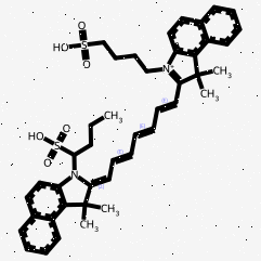 CCCC(N1\C(=C/C=C/C=C/C=C/C2=[N+](CCCCS(=O)(=O)O)c3ccc4ccccc4c3C2(C)C)C(C)(C)c2c1ccc1ccccc21)S(=O)(=O)O